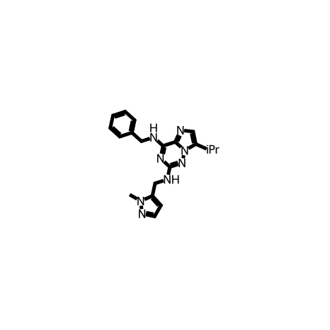 CC(C)c1cnc2c(NCc3ccccc3)nc(NCc3ccnn3C)nn12